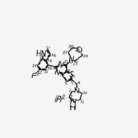 CC(C)[C@@H]1CN(Cc2cc3nc(-c4cc(F)cc5[nH]ccc45)nc(N4CCOCC4)c3s2)CCN1